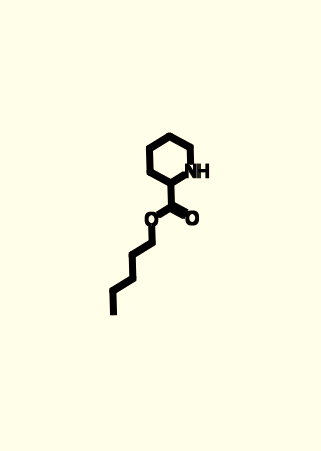 CCCCCOC(=O)C1CCCCN1